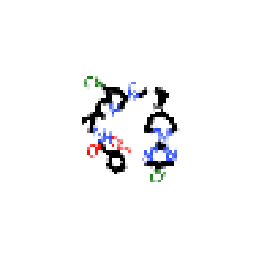 CC(C)(CNC(=O)c1ccccc1O)Cc1ncc(NCC[C@@H]2C[C@@H]2C2CCN(c3ncc(Cl)cn3)CC2)cc1Cl